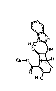 CC1=C(C(=O)OC(C)(C)C)N2C(=O)C(Nc3nc4ccccc4n3C)[C@@H]2SC1